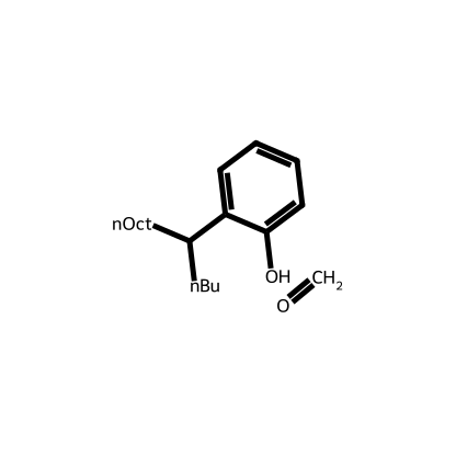 C=O.CCCCCCCCC(CCCC)c1ccccc1O